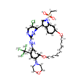 CCS(=O)(=O)n1cc2c3ccc(cc31)OCCCCCCOc1cc(c(C(F)(F)F)cc1N1CCOCC1)Nc1ncc(Cl)c-2n1